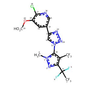 Cn1nc(C(F)(F)C(F)(F)F)c(C(F)(F)F)c1-n1cc(-c2cnc(Cl)c(OC(=O)O)c2)nn1